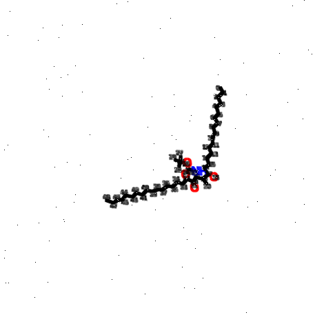 CCCCCCCCCCCCCCCCCC(=O)C(C)C(NC(=O)OC(C)(C)C)C(=O)CCCCCCCCCCCCCCCCC